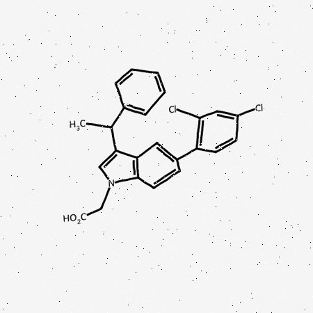 CC(c1ccccc1)c1cn(CC(=O)O)c2ccc(-c3ccc(Cl)cc3Cl)cc12